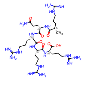 C[C@@H](CCCNC(=N)N)C(=O)N[C@@H](CCC(N)=O)C(=O)N[C@@H](CCCNC(=N)N)C(=O)N[C@@H](CCCNC(=N)N)C(=O)N[C@@H](CCCNC(=N)N)C(=O)O